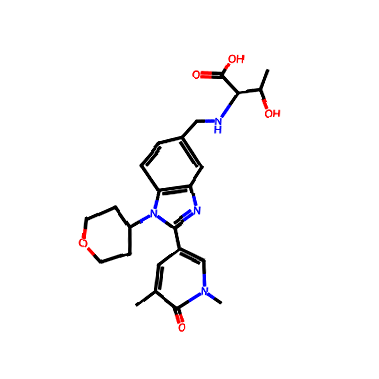 Cc1cc(-c2nc3cc(CNC(C(=O)O)C(C)O)ccc3n2C2CCOCC2)cn(C)c1=O